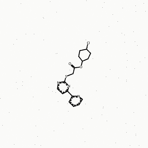 O=C(CSc1nccc(-c2ccccn2)n1)OC1CCC(Cl)CC1